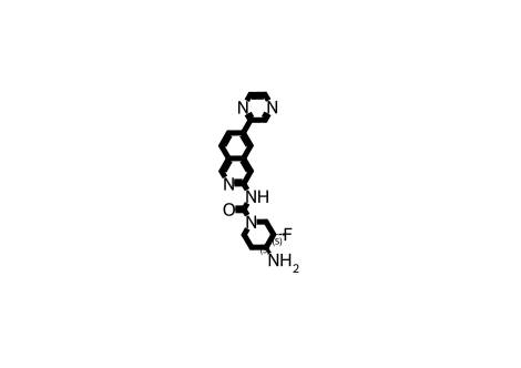 N[C@H]1CCN(C(=O)Nc2cc3cc(-c4cnccn4)ccc3cn2)C[C@@H]1F